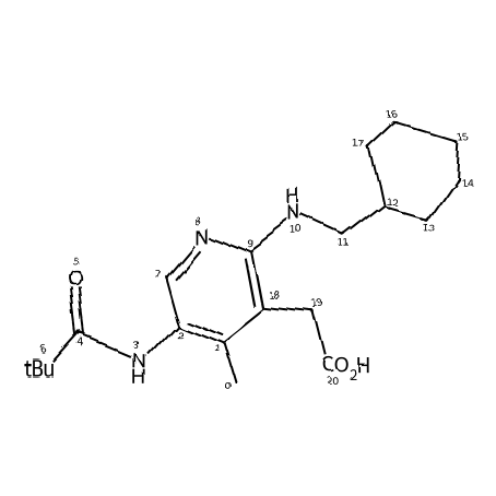 Cc1c(NC(=O)C(C)(C)C)cnc(NCC2CCCCC2)c1CC(=O)O